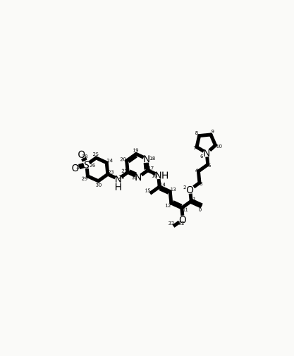 C=C(OCCCN1CCCC1)/C(=C\C=C(/C)Nc1nccc(NC2CCS(=O)(=O)CC2)n1)OC